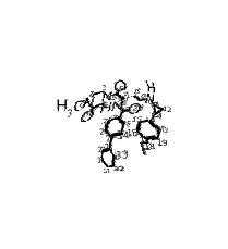 CN1CCN(C(=O)[C@H](CCN[C@@H]2C[C@H]2c2ccc(F)cc2)NC(=O)c2ccc(-c3ccccc3)cc2)CC1=O